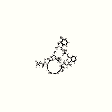 CNC(=O)COc1ccccc1S(=O)(=O)NC(=O)[C@@]12C[C@@H]1/C=C\CCCCC[C@H](NC(=O)OC(C)(C)C)C(=O)N1C[C@H](OCON3Cc4cccc(F)c4C3)C[C@H]1C(=O)N2